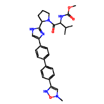 COC(=O)NC(C(=O)N1CCCC1c1nc(-c2ccc(-c3ccc(C4=CN(C)ON4)cc3)cc2)c[nH]1)C(C)C